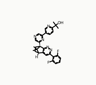 CC(C)(O)c1ccc(-c2cncc([C@@]34CC[C@@H](c5cc(-c6c(F)cccc6F)nnc53)C4(C)C)n2)cn1